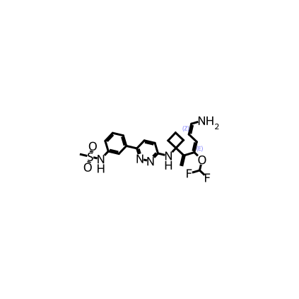 C=C(/C(=C\C=C/N)OC(F)F)C1(Nc2ccc(-c3cccc(NS(C)(=O)=O)c3)nn2)CCC1